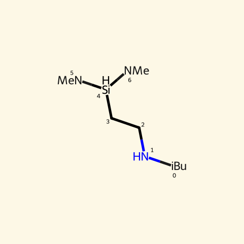 CCC(C)NCC[SiH](NC)NC